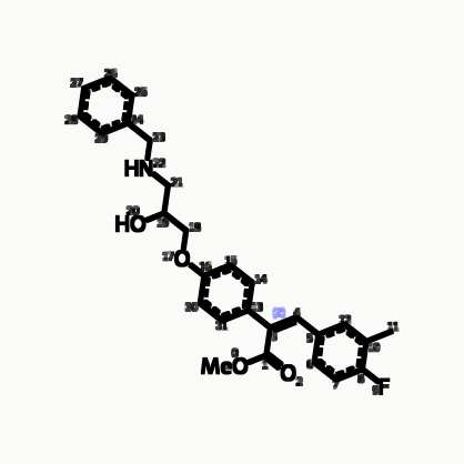 COC(=O)/C(=C\c1ccc(F)c(C)c1)c1ccc(OCC(O)CNCc2ccccc2)cc1